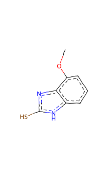 COc1cccc2[nH]c(S)nc12